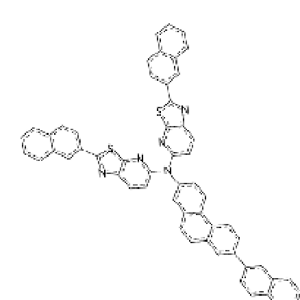 c1ccc2cc(-c3ccc4c(ccc5cc(N(c6ccc7nc(-c8ccc9ccccc9c8)sc7n6)c6ccc7nc(-c8ccc9ccccc9c8)sc7n6)ccc54)c3)ccc2c1